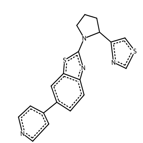 c1cc(-c2ccc3nc(N4CCCC4c4cscn4)sc3c2)ccn1